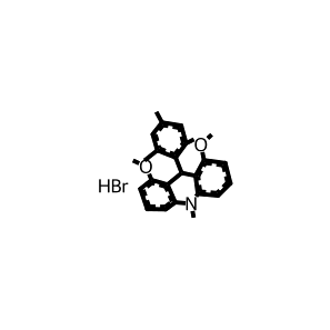 Br.COc1cccc2c1C(c1c(C)cc(C)cc1C)c1c(OC)cccc1N2C